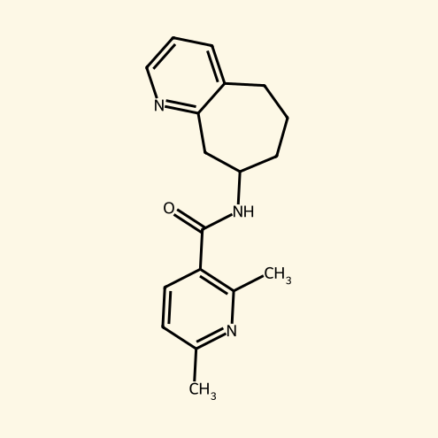 Cc1ccc(C(=O)NC2CCCc3cccnc3C2)c(C)n1